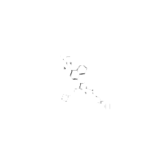 C[C@H](NS(=O)(=O)c1ccc(-c2sc(C(=O)NCC(C)(C)O)nc2COC2CCC2)c2ccccc12)C(F)(F)F